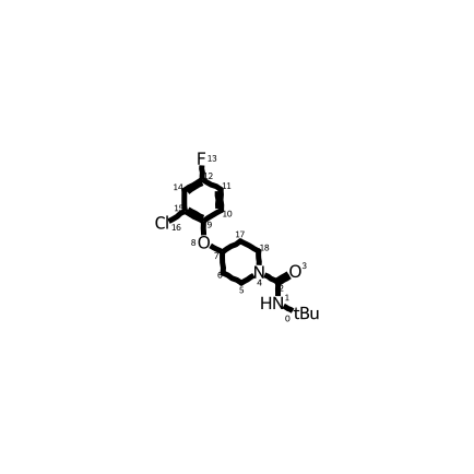 CC(C)(C)NC(=O)N1CCC(Oc2ccc(F)cc2Cl)CC1